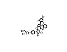 C[C@H](c1ccccc1)[C@@H](c1ncc(-c2c(F)cc(Br)cc2F)[nH]1)N1C(=O)N[C@H](c2ccc(OC[C@@H](O)CO)cc2)C1=O